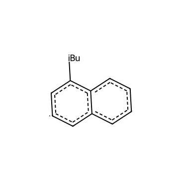 CCC(C)c1c[c]cc2ccccc12